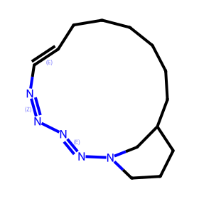 C1=C/N=N\N=N\N2CCCC(CCCCCC/1)C2